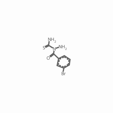 NC(=S)N(N)C(=O)c1cccc(Br)c1